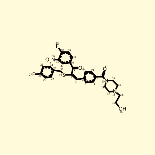 O=C(/C(=C\c1ccc(C(=O)N2CCN(CCO)CC2)cc1)SCc1ccc(F)cc1)c1ccc(F)c([N+](=O)[O-])c1